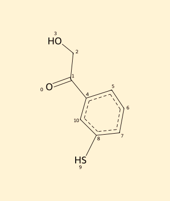 O=C(CO)c1cccc(S)c1